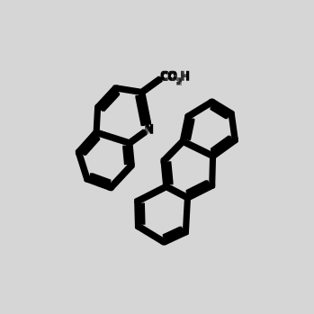 O=C(O)c1ccc2ccccc2n1.c1ccc2cc3ccccc3cc2c1